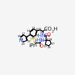 CC(C)C(S)C(=O)NC1(C(=O)NC(Cc2ccc(-c3ccncc3)cc2)C(=O)O)CCCC1